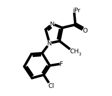 Cc1c(C(=O)C(C)C)ncn1-c1cccc(Cl)c1F